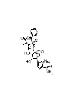 CC(NP(=O)(OC[C@@]1(CCl)O[C@@H](c2ccc3c(N)ncnn23)[C@H](O)[C@@H]1O)Oc1ccccc1)C(=O)O